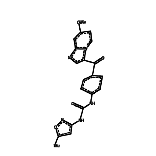 COc1ccn2c(C(=O)c3ccc(NC(=O)Nc4cc(C(C)(C)C)on4)cc3)cnc2c1